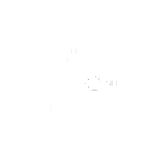 COCCOC1[C@@H](OC)[C@@H](COC)O[C@H]1n1cc(C)c(N)nc1=O